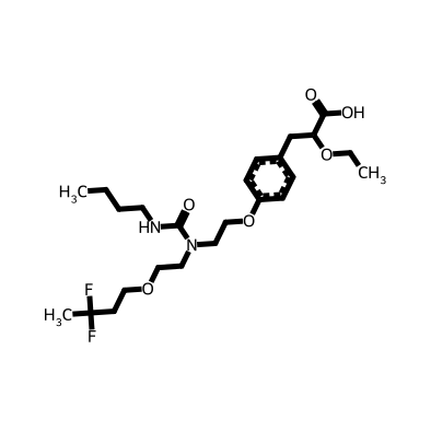 CCCCNC(=O)N(CCOCCC(C)(F)F)CCOc1ccc(CC(OCC)C(=O)O)cc1